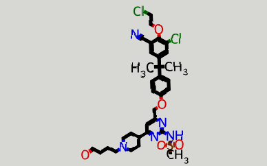 CC(C)(c1ccc(OCc2cc(C3CCN(CCCC=O)CC3)nc(NS(C)(=O)=O)n2)cc1)c1cc(Cl)c(OCCCl)c(C#N)c1